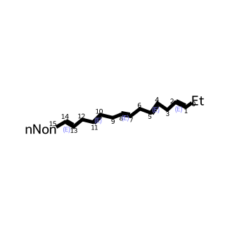 CC/C=C/C/C=C/C/C=C/C/C=C/C/C=C/CCCCCCCCC